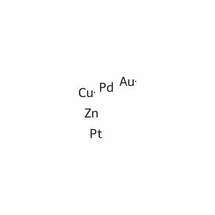 [Au].[Cu].[Pd].[Pt].[Zn]